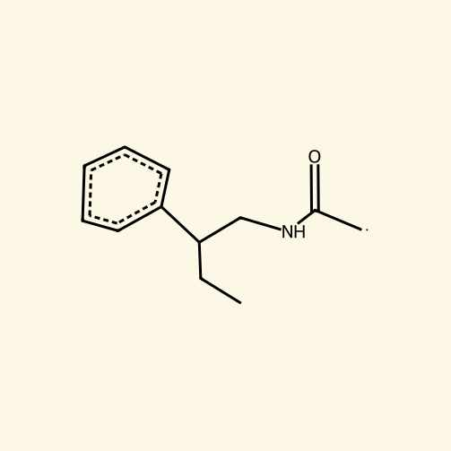 [CH2]C(=O)NCC(CC)c1ccccc1